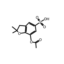 CC(=O)Oc1cc(S(=O)(=O)O)cc2c1OC(C)(C)C2